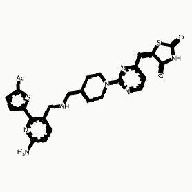 CC(=O)c1ccc(-c2nc(N)ccc2CNCC2CCN(c3nccc(C=C4SC(=O)NC4=O)n3)CC2)s1